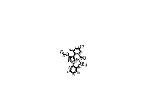 Cc1cc(Cl)cc(C(=O)NC(C)(C)C)c1-c1cn(-c2ncccc2Cl)nc1OCF